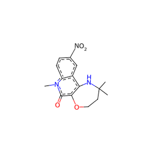 Cn1c(=O)c2c(c3cc([N+](=O)[O-])ccc31)NC(C)(C)CCO2